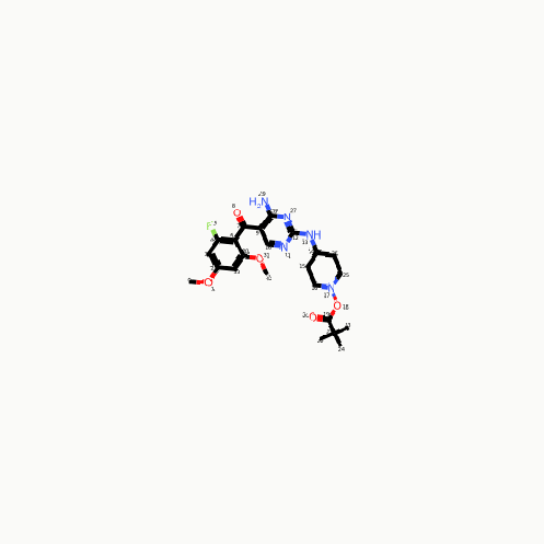 COc1cc(F)c(C(=O)c2cnc(NC3CCN(OC(=O)C(C)(C)C)CC3)nc2N)c(OC)c1